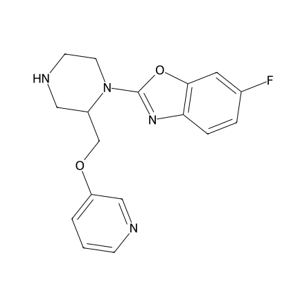 Fc1ccc2nc(N3CCNCC3COc3cccnc3)oc2c1